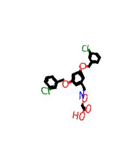 O=C(O)CON=Cc1cc(OCc2cccc(Cl)c2)cc(OCc2cccc(Cl)c2)c1